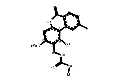 C=C(C)c1ccc(C)cc1-c1c(O)cc(CCCCC)c(COC(=O)NCC)c1O